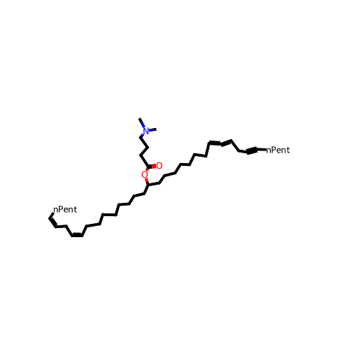 CCCCCC#CCC=C=CCCCCCCCC(CCCCCCCC/C=C\C/C=C\CCCCC)OC(=O)CCCN(C)C